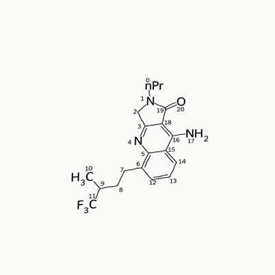 CCCN1Cc2nc3c(CCC(C)C(F)(F)F)cccc3c(N)c2C1=O